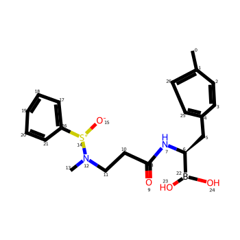 Cc1ccc(C[C@H](NC(=O)CCN(C)[S+]([O-])c2ccccc2)B(O)O)cc1